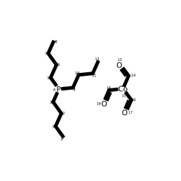 CCCCP(CCCC)CCCC.O=[CH][Co]([CH]=O)[CH]=O